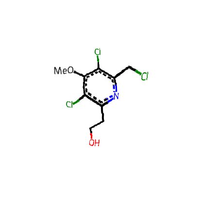 COc1c(Cl)c(CCl)nc(CCO)c1Cl